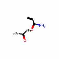 C=CC(N)=O.CCCC(=O)CCC